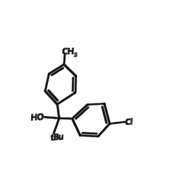 Cc1ccc(C(O)(c2ccc(Cl)cc2)C(C)(C)C)cc1